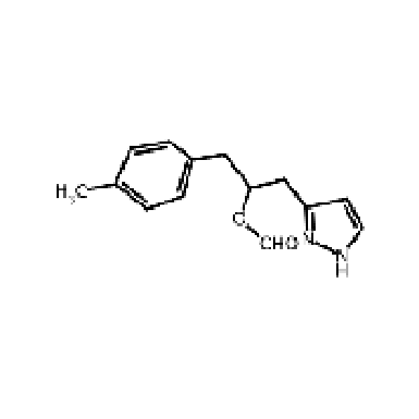 Cc1ccc(CC(Cc2cc[nH]n2)OC=O)cc1